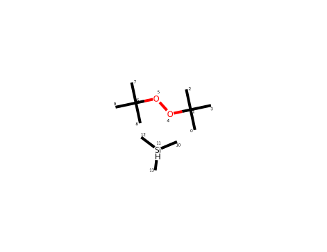 CC(C)(C)OOC(C)(C)C.C[SiH](C)C